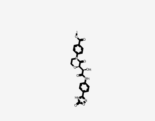 O=C(OI)c1ccc(N2CCO[C@H]([C@@H](O)C(=O)Nc3ccc(-c4noc(=O)[nH]4)cc3)C2=O)cc1